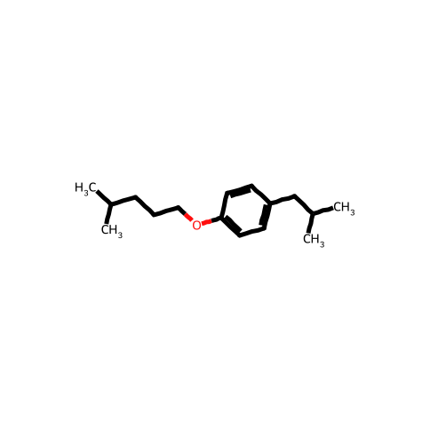 CC(C)CCCOc1ccc(CC(C)C)cc1